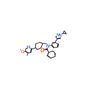 COc1cnc(C2CCC(CN(C(=O)C3CCCCC3)c3cccc(-c4cnn(C5CC5)c4)c3)CC2)cc1C